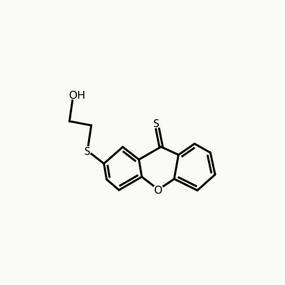 OCCSc1ccc2oc3ccccc3c(=S)c2c1